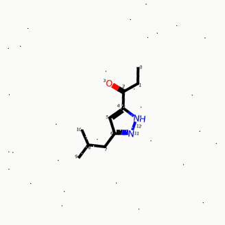 CCC(=O)c1cc(CC(C)C)n[nH]1